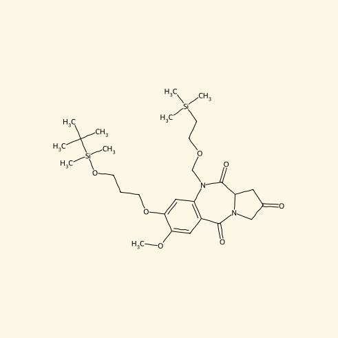 COc1cc2c(cc1OCCCO[Si](C)(C)C(C)(C)C)N(COCC[Si](C)(C)C)C(=O)C1CC(=O)CN1C2=O